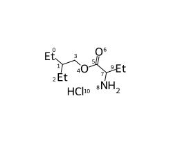 CCC(CC)COC(=O)C(N)CC.Cl